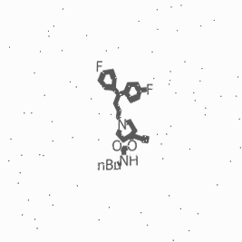 C#CC1(OC(=O)NCCCC)CCN(CCCC(c2ccc(F)cc2)c2ccc(F)cc2)CC1